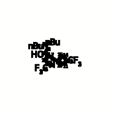 CCCCN(CCCC)CC(O)c1cc(-c2ccc(C(F)(F)F)cc2)nc(C(F)(F)F)c1